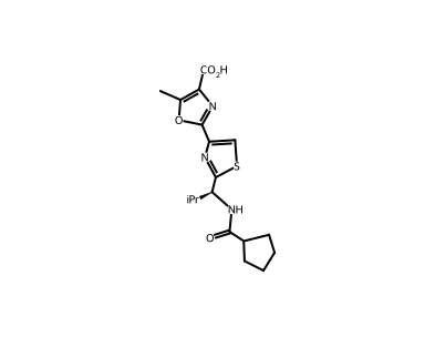 Cc1oc(-c2csc([C@@H](NC(=O)C3CCCC3)C(C)C)n2)nc1C(=O)O